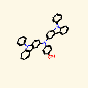 Oc1ccc(N(c2ccc3c(c2)c2c(n3-c3ccccc3)CCC=C2)c2ccc3c(c2)c2ccccc2n3-c2ccccc2)cc1